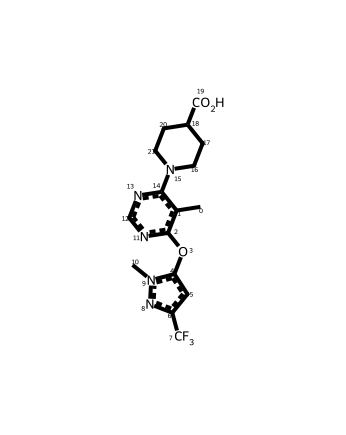 Cc1c(Oc2cc(C(F)(F)F)nn2C)ncnc1N1CCC(C(=O)O)CC1